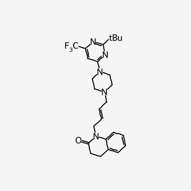 CC(C)(C)c1nc(N2CCN(CC=CCN3C(=O)CCc4ccccc43)CC2)cc(C(F)(F)F)n1